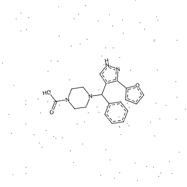 O=C(O)N1CCN(C(c2ccccc2)c2c[nH]nc2-c2ccco2)CC1